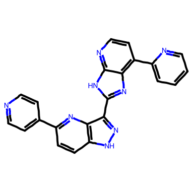 c1ccc(-c2ccnc3[nH]c(-c4n[nH]c5ccc(-c6ccncc6)nc45)nc23)nc1